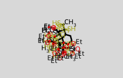 CCO[Si](OCC)(OCC)C(S)(S)C(S)(C(C)S)C1CCCC(C(S)(C(C)S)C(S)(S)[Si](OCC)(OCC)OCC)(C(S)(C(C)S)C(S)(S)[Si](OCC)(OCC)OCC)C1(C(S)(C(C)S)C(S)(S)[Si](OCC)(OCC)OCC)C(S)(C(C)S)C(S)(S)[Si](OCC)(OCC)OCC